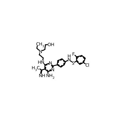 CCN(CCO)CCNc1nc(-c2ccc(NSc3cc(Cl)ccc3F)cc2)nc(N)c1C(C)=N